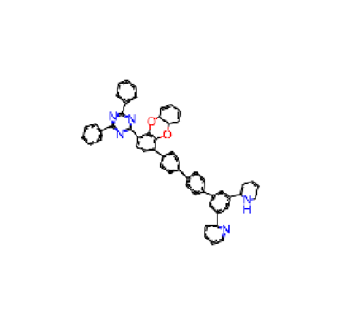 C1=CCNC(c2cc(-c3ccc(-c4ccc(-c5ccc(-c6nc(-c7ccccc7)nc(-c7ccccc7)n6)c6c5OC5C=CC=CC5O6)cc4)cc3)cc(-c3ccccn3)c2)=C1